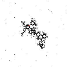 O=C(O[C@H]1CN2CCC1CC2)C(Nc1cccc(S(=O)(=O)N2CCC[C@]2(C(=O)O)[C@@H](Cc2c(Cl)c[n+]([O-])cc2Cl)c2ccc(OC(F)F)c(OCC3CC3)c2)c1)c1cccc(F)c1